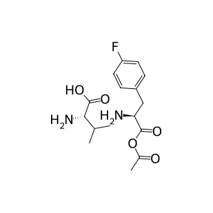 CC(=O)OC(=O)[C@@H](N)Cc1ccc(F)cc1.CC(C)[C@H](N)C(=O)O